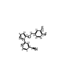 N#Cc1ccnc(-n2nccc2OCc2ccc(F)c(F)c2)c1